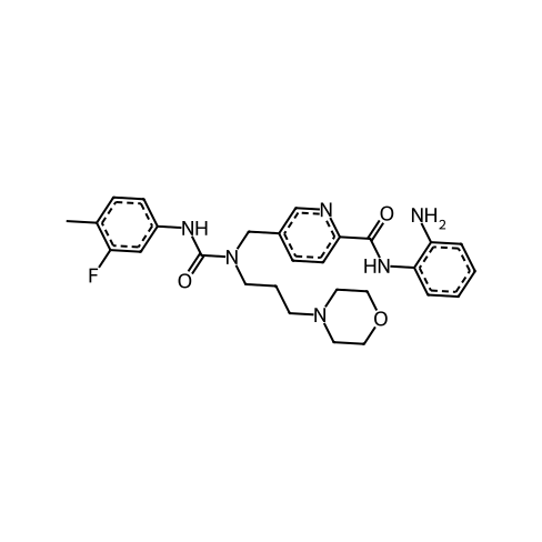 Cc1ccc(NC(=O)N(CCCN2CCOCC2)Cc2ccc(C(=O)Nc3ccccc3N)nc2)cc1F